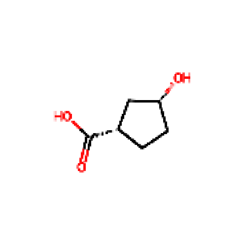 O=C(O)[C@H]1CC[C@@H](O)C1